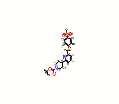 C=C(C)OC(=O)N1CCC(c2cccc(COc3ccc(S(C)(=O)=O)cc3F)n2)CC1